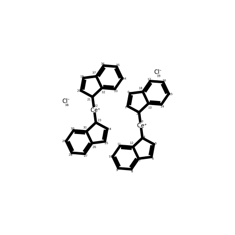 C1=C[CH]([Ce+][CH]2C=Cc3ccccc32)c2ccccc21.C1=C[CH]([Ce+][CH]2C=Cc3ccccc32)c2ccccc21.[Cl-].[Cl-]